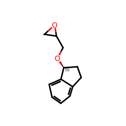 c1ccc2c(c1)CC[C@@H]2OCC1CO1